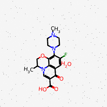 CC1COc2c(N3CCN(C)CC3)c(F)cc3c(=O)c(C(=O)O)cn1c23.O